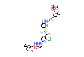 CC(C)(C)OC(=O)N1CC(OCCNc2cccc(SNC(=O)c3ccc(N4C=CC(OCCCC5(C(F)(F)F)CC5)N4)nc3Cl)n2)CC1(C)C